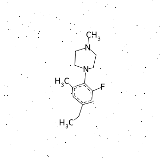 CCc1cc(C)c(N2CCN(C)CC2)c(F)c1